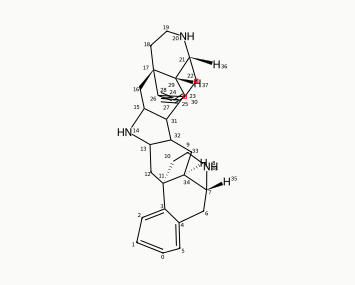 c1ccc2c(c1)C[C@H]1NCC[C@@]23CC2NC4C[C@]56CCN[C@H](Cc7ccccc75)[C@@H]6CC4C2C[C@@H]13